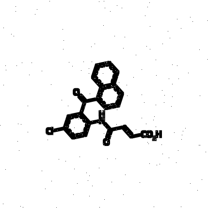 O=C(O)/C=C/C(=O)Nc1ccc(Cl)cc1C(=O)c1cccc2ccccc12